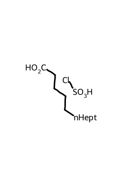 CCCCCCCCCCCC(=O)O.O=S(=O)(O)Cl